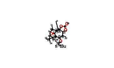 CC1=C[C@@]23C(=O)[C@H](C4C(C[C@H]2C)C4(C)C)[C@H](O[Si](C)(C)C(C)(C)C)[C@H](C)C2OC(=O)O[C@]23C1